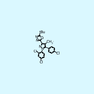 [CH2]c1c(-c2nnc(C(C)(C)C)o2)nn(-c2ccc(Cl)cc2Cl)c1-c1ccc(Cl)cc1